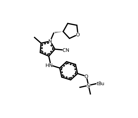 Cc1cc(Nc2ccc(O[Si](C)(C)C(C)(C)C)cc2)c(C#N)n1C[C@@H]1CCOC1